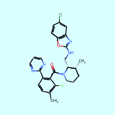 Cc1ccc(-c2ncccn2)c(C(=O)N2CCC[C@@H](C)[C@H]2CNc2nc3cc(Cl)ccc3o2)c1F